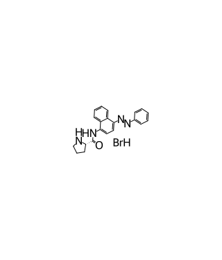 Br.O=C(Nc1ccc(/N=N/c2ccccc2)c2ccccc12)[C@@H]1CCCN1